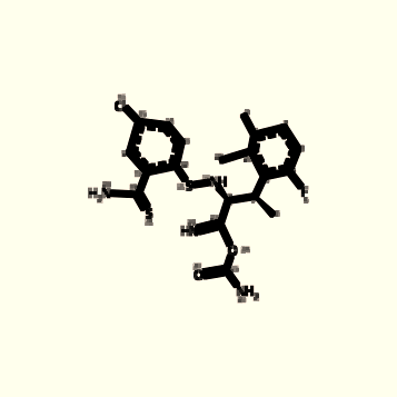 Cc1ccc(F)c([C@@H](C)[C@H](NSc2ccc(Cl)cc2C(N)=S)C(=N)OC(N)=O)c1C